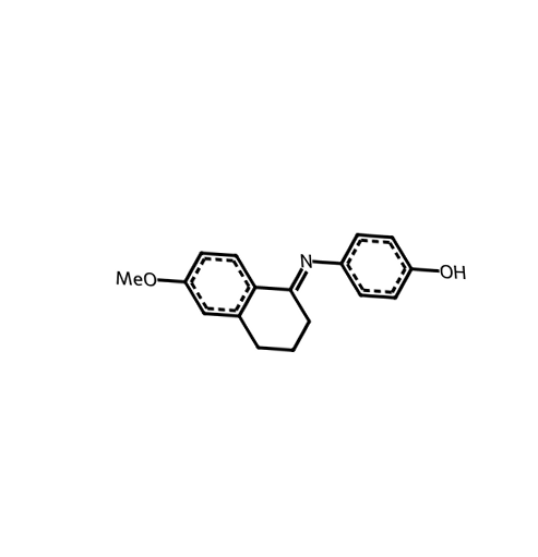 COc1ccc2c(c1)CCCC2=Nc1ccc(O)cc1